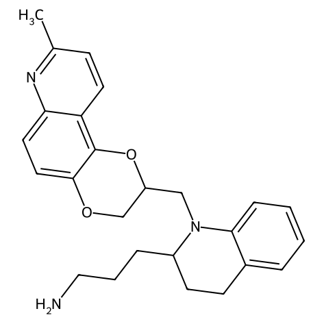 Cc1ccc2c3c(ccc2n1)OCC(CN1c2ccccc2CCC1CCCN)O3